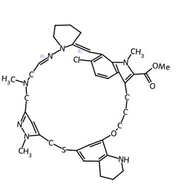 COC(=O)c1c2c3ccc(Cl)c(c3n1C)/C=C1\CCCCN1/N=C/CN(C)Cc1cc(n(C)n1)CSc1cc3c(c(c1)OCCC2)NCCC3